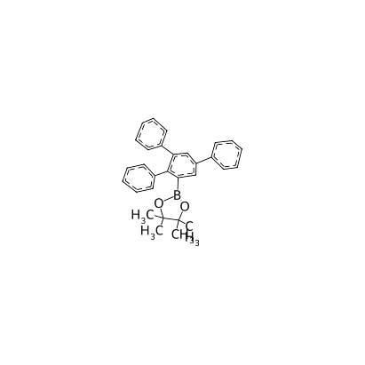 CC1(C)OB(c2cc(-c3ccccc3)cc(-c3ccccc3)c2-c2ccccc2)OC1(C)C